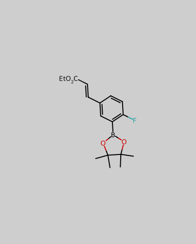 CCOC(=O)/C=C/c1ccc(F)c(B2OC(C)(C)C(C)(C)O2)c1